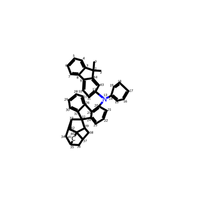 CC1(C)c2ccccc2-c2ccc(N(c3ccccc3)c3cccc4c3-c3ccccc3C43C4CC5CC6CC3C6(C5)C4)cc21